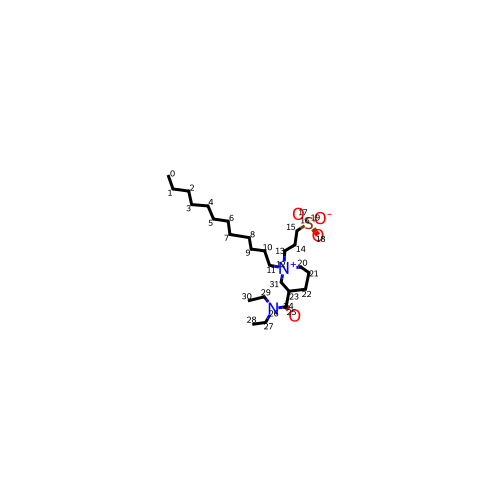 CCCCCCCCCCCC[N+]1(CCCS(=O)(=O)[O-])CCCC(C(=O)N(CC)CC)C1